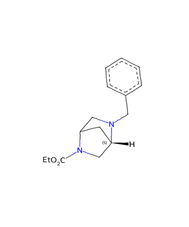 CCOC(=O)N1C[C@@H]2CC1CN2Cc1ccccc1